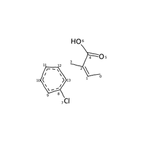 CC=C(C)C(=O)O.Clc1ccccc1